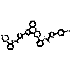 O=C(Nc1ccccc1N1CCNC(c2cc(-c3nc(C(=O)Nc4ccccc4N4CCNCC4)cs3)sc2-c2ccccc2)C1)c1csc(-c2ccc(S)cc2)n1